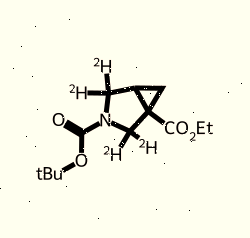 [2H]C1([2H])C2CC2(C(=O)OCC)C([2H])([2H])N1C(=O)OC(C)(C)C